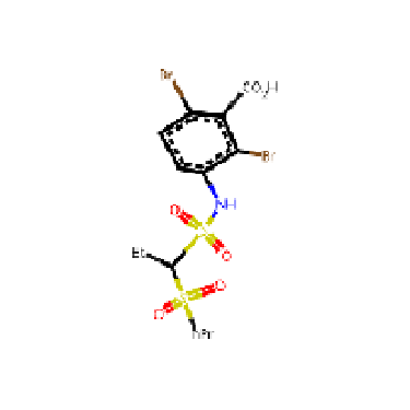 CCCS(=O)(=O)C(CC)S(=O)(=O)Nc1ccc(Br)c(C(=O)O)c1Br